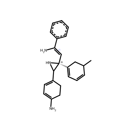 CC1C=CC=C([C@@]2(/C=C(\N)c3ccccc3)NC2C2=CC=C(N)CC2)C1